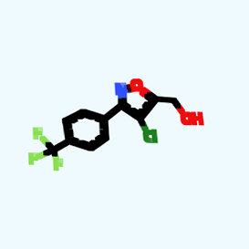 OCc1onc(-c2ccc(C(F)(F)F)cc2)c1Cl